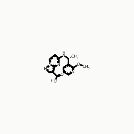 COc1ncccc1[C@@H](C)Nc1ccn2ncc(C(=O)O)c2n1